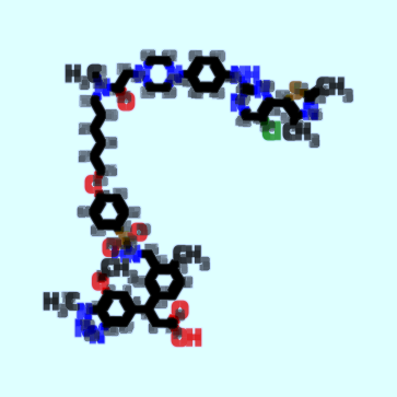 COc1cc(C(CC(=O)O)c2ccc(C)c(CNS(=O)(=O)c3ccc(OCCCCCCN(C)C(=O)CN4CCN(c5ccc(Nc6ncc(Cl)c(-c7sc(C)nc7C)n6)cc5)CC4)cc3)c2)cc2nnn(C)c12